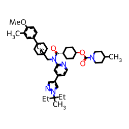 CCC(C)(CC)n1cc(-c2ccnc(N(CC34CCC(c5ccc(OC)c(C)c5)(CC3)CC4)C(=O)[C@H]3CC[C@H](OC(=O)N4CCC(C)CC4)CC3)c2)cn1